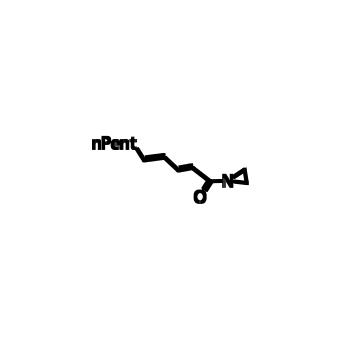 CCCCC/C=C/C=C/C(=O)N1CC1